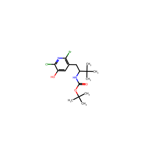 CC(C)(C)OC(=O)NC(Cc1cc(O)c(Cl)nc1Br)C(C)(C)C